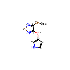 CCCCSc1nsnc1Oc1cc[nH]c1